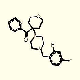 O=C(c1ccccn1)C1(N2CCN(Cc3ccc(F)cc3F)CC2)CCOCC1